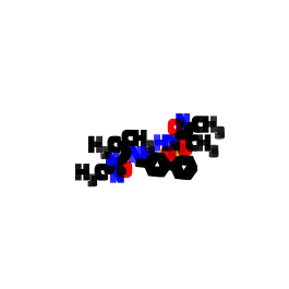 Cc1noc([C@@H](NCc2ccc(-c3ccccc3S(=O)(=O)Nc3onc(C)c3C)cc2)C(C)C)n1